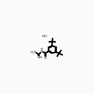 CC(C)(C)c1cc(C(=O)NC(=N)N)cc(C(C)(C)C)c1.Cl